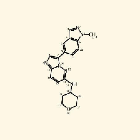 Cn1ncc2cc(-c3cnc4ccc(NC5CCOCC5)nn34)ccc21